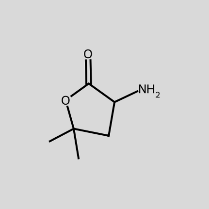 CC1(C)CC(N)C(=O)O1